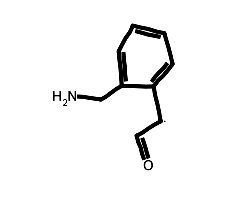 NCc1ccccc1[CH]C=O